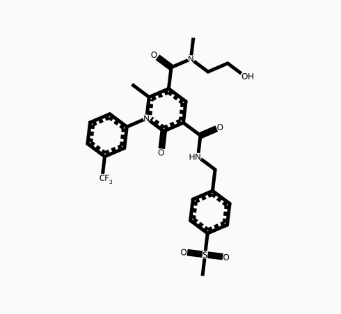 Cc1c(C(=O)N(C)CCO)cc(C(=O)NCc2ccc(S(C)(=O)=O)cc2)c(=O)n1-c1cccc(C(F)(F)F)c1